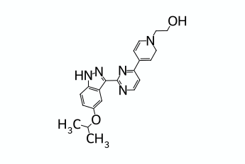 CC(C)Oc1ccc2[nH]nc(-c3nccc(C4=CCN(CCO)C=C4)n3)c2c1